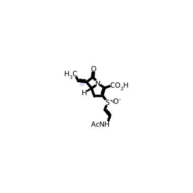 C/C=C1\C(=O)N2C(C(=O)O)=C([S+]([O-])C=CNC(C)=O)C[C@H]12